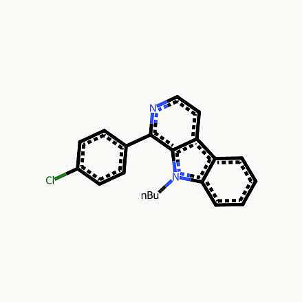 CCCCn1c2ccccc2c2ccnc(-c3ccc(Cl)cc3)c21